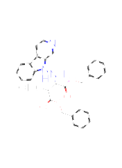 NC(C(=O)OCc1ccccc1)C(C=O)C(=O)OCc1ccccc1.c1ccc2c(c1)[nH]c1cnccc12